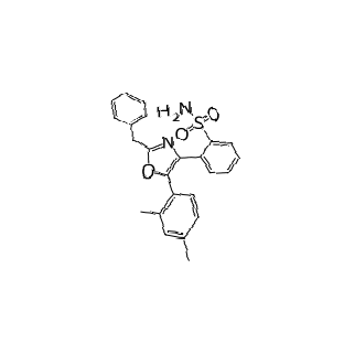 Cc1ccc(-c2oc(Cc3ccccc3)nc2-c2ccccc2S(N)(=O)=O)c(C)c1